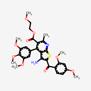 COCCOC(=O)c1c(C)nc2sc(C(=O)c3ccc(OC)cc3OC)c(N)c2c1-c1cc(OC)c(OC)c(OC)c1